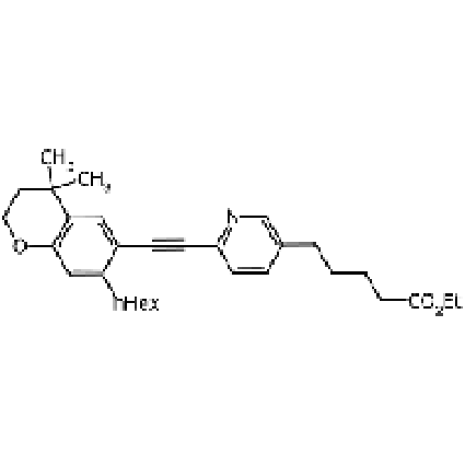 CCCCCCc1cc2c(cc1C#Cc1ccc(CCCCC(=O)OCC)cn1)C(C)(C)CCO2